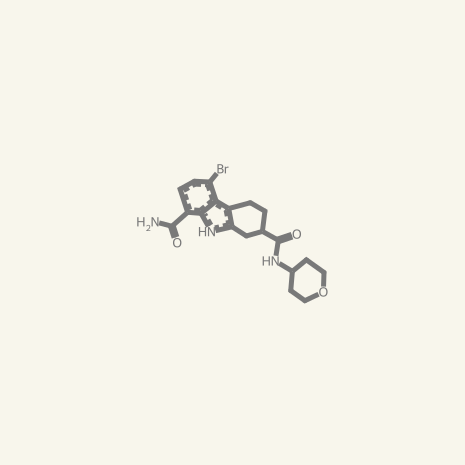 NC(=O)c1ccc(Br)c2c3c([nH]c12)CC(C(=O)NC1CCOCC1)CC3